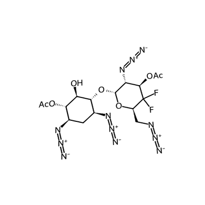 CC(=O)O[C@@H]1[C@@H](O)[C@H](O[C@H]2O[C@H](CN=[N+]=[N-])C(F)(F)[C@H](OC(C)=O)[C@H]2N=[N+]=[N-])[C@@H](N=[N+]=[N-])C[C@H]1N=[N+]=[N-]